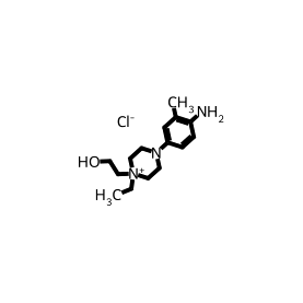 CC[N+]1(CCO)CCN(c2ccc(N)c(C)c2)CC1.[Cl-]